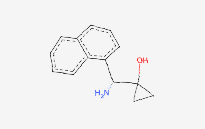 N[C@H](c1cccc2ccccc12)C1(O)CC1